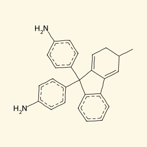 CC1C=C2C(=CC1)C(c1ccc(N)cc1)(c1ccc(N)cc1)c1ccccc12